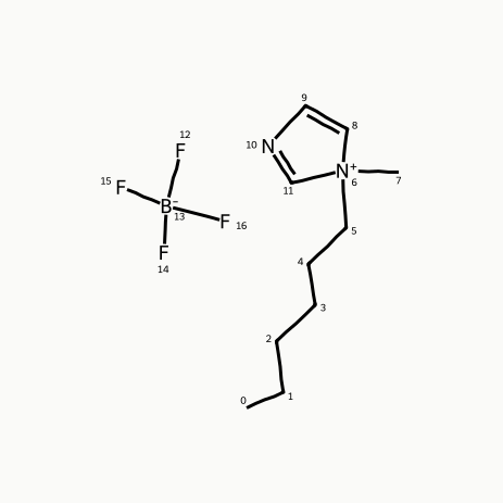 CCCCCC[N+]1(C)C=CN=C1.F[B-](F)(F)F